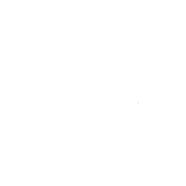 C=CC(=O)OCC(C)(COc1ccc2cc(-c3ccccc3)sc2c1)CC(F)(F)F